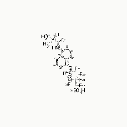 CCC(C)(C)C(=O)Nc1cccc2c(OS(=O)(=O)C(F)(F)C(F)(F)C(F)(F)S(=O)(=O)O)cccc12